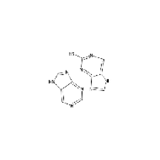 Sc1ncc2[nH]cnc2n1.c1ncc2[nH]cnc2n1